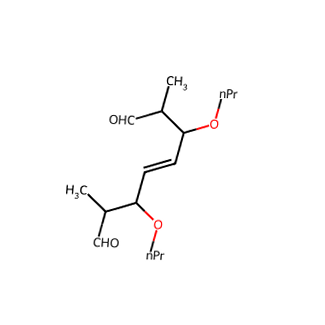 CCCOC(C=CC(OCCC)C(C)C=O)C(C)C=O